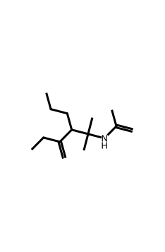 C=C(C)NC(C)(C)C(CCC)C(=C)CC